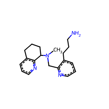 CN(Cc1ncccc1CCCN)C1CCCc2cccnc21